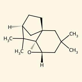 CC1(C)C[C@@H]2O[C@@]23C(C)(C)[C@H]2CC[C@@]3(C2)C1